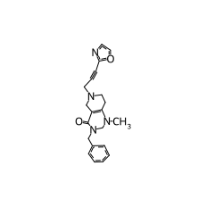 CN1CN(Cc2ccccc2)C(=O)C2=C1CCN(CC#Cc1ncco1)C2